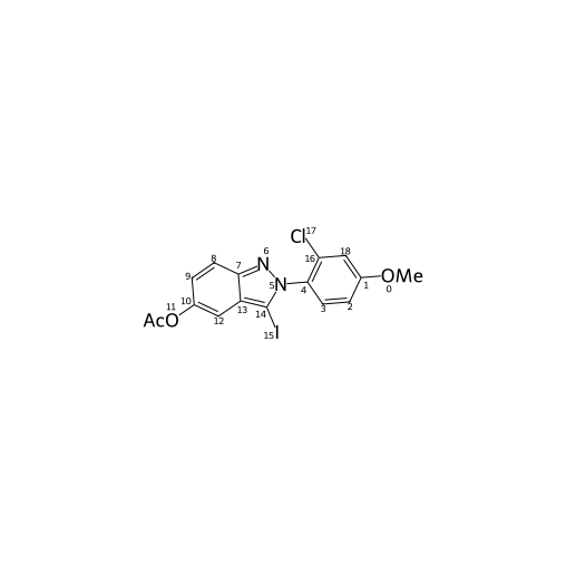 COc1ccc(-n2nc3ccc(OC(C)=O)cc3c2I)c(Cl)c1